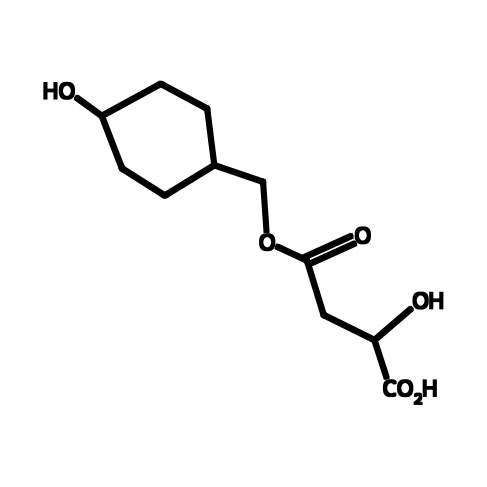 O=C(CC(O)C(=O)O)OCC1CCC(O)CC1